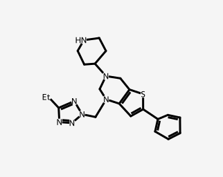 CCc1nnn(CN2CN(C3CCNCC3)Cc3sc(-c4ccccc4)cc32)n1